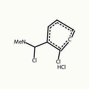 CNC(Cl)c1ccccc1Cl.Cl